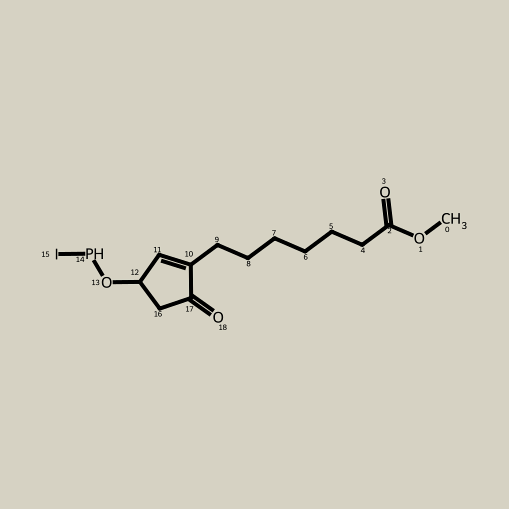 COC(=O)CCCCCCC1=CC(OPI)CC1=O